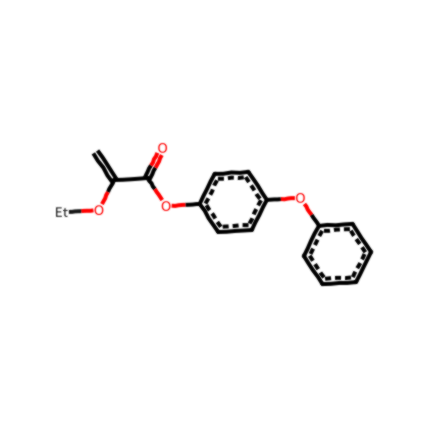 C=C(OCC)C(=O)Oc1ccc(Oc2ccccc2)cc1